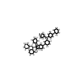 C1=CC(CC2c3ccccc3Oc3c2n(-c2ccccc2)c2cc(-c4cccc(N(c5ccncc5)c5ccc(-c6ccccc6)cc5)c4)ccc32)=CCC1